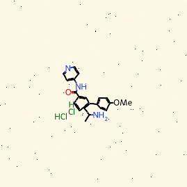 COc1ccc(-c2cc(C(=O)Nc3ccncc3)ccc2C(C)N)cc1.Cl.Cl